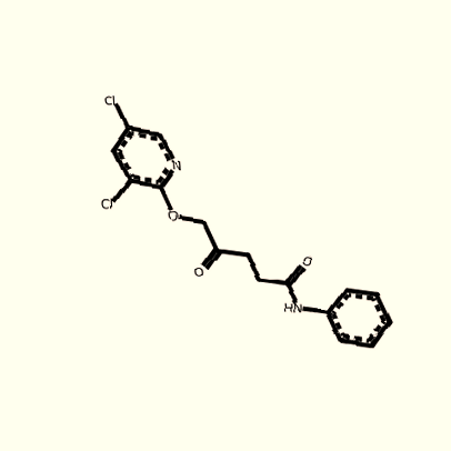 O=C(CCC(=O)Nc1ccccc1)COc1ncc(Cl)cc1Cl